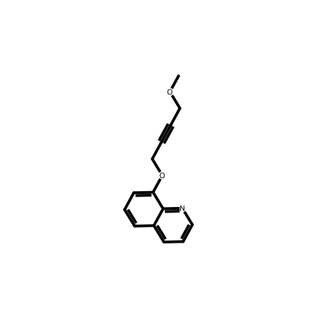 COCC#CCOc1cccc2cccnc12